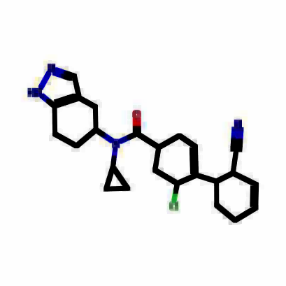 N#CC1C=CCCC1C1=CCC(C(=O)N(C2CC2)C2CCc3[nH]ncc3C2)CC1Cl